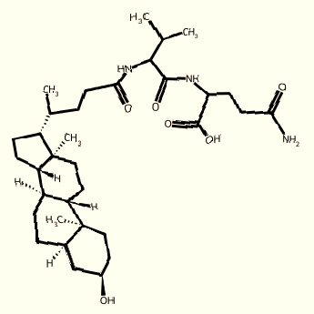 CC(C)C(NC(=O)CCC(C)[C@H]1CC[C@H]2[C@@H]3CC[C@@H]4C[C@H](O)CC[C@]4(C)[C@H]3CC[C@]12C)C(=O)NC(CCC(N)=O)C(=O)O